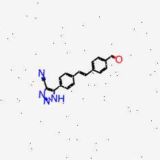 N#Cc1nn[nH]c1-c1ccc(/C=C/c2ccc(C=O)cc2)cc1